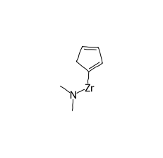 C[N](C)[Zr][C]1=CC=CC1